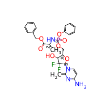 C=C1N=C(N)C=CN1[C@@H]1O[C@H](CO[P@@](=O)(N[C@@H](C)C(=O)OCc2ccccc2)Oc2ccccc2)C(O)C1(F)F